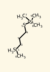 C[SiH2]CCCS[Si](C)(C)C